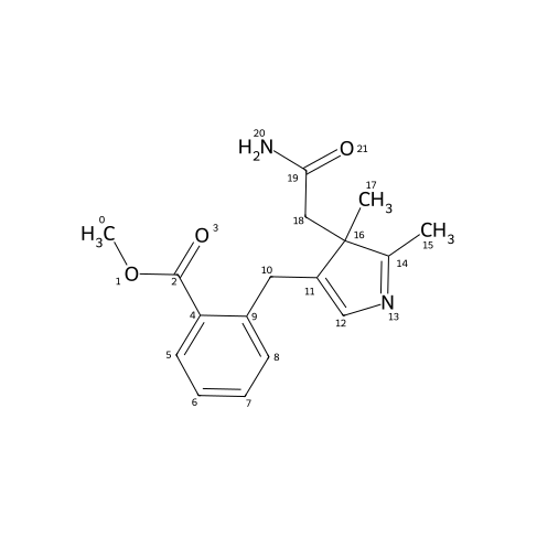 COC(=O)c1ccccc1CC1=CN=C(C)C1(C)CC(N)=O